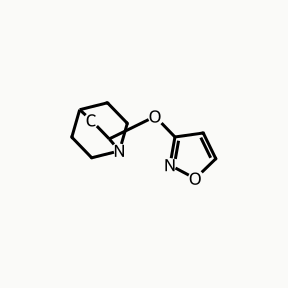 c1cc(OC2CC3CCN2CC3)no1